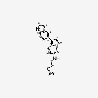 CC(C)OCCNc1ncc2c(-c3ccc4nccn4c3)ccn2n1